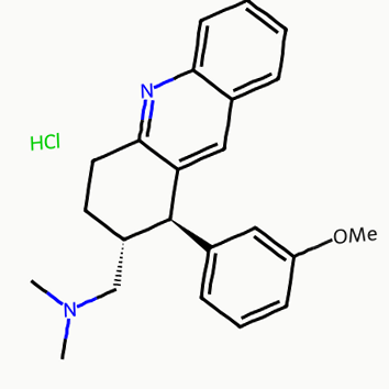 COc1cccc([C@@H]2c3cc4ccccc4nc3CC[C@H]2CN(C)C)c1.Cl